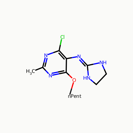 CCCCCOc1nc(C)nc(Cl)c1N=C1NCCN1